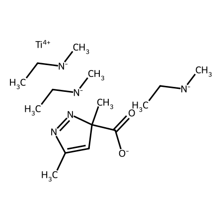 CC1=CC(C)(C(=O)[O-])N=N1.CC[N-]C.CC[N-]C.CC[N-]C.[Ti+4]